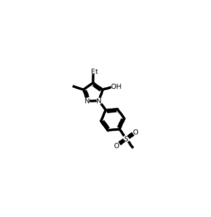 CCc1c(C)nn(-c2ccc(S(C)(=O)=O)cc2)c1O